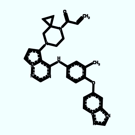 C=CC(=O)N1CCN(c2ccn3ncnc(Nc4ccc(Oc5ccn6ncnc6c5)c(C)c4)c23)CC12CC2